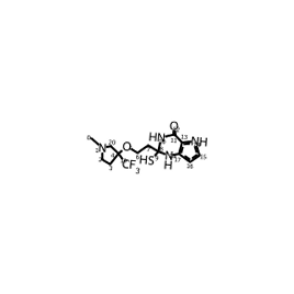 CN1CCC(OCCC2(S)NC(=O)c3[nH]ccc3N2)(C(F)(F)F)C1